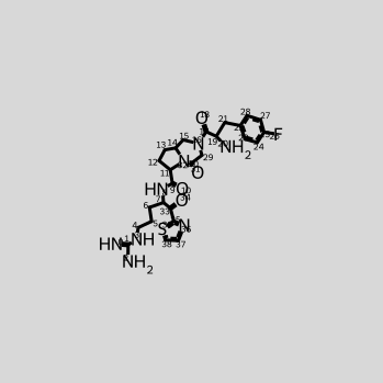 N=C(N)NCCCC(NC(=O)C1CCC2CN(C(=O)C(N)Cc3ccc(F)cc3)CC(=O)N21)C(=O)c1nccs1